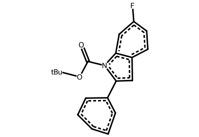 CC(C)(C)OC(=O)n1c(-c2ccccc2)cc2ccc(F)cc21